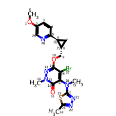 COc1ccc([C@H]2C[C@@H]2COc2nn(C)c(=O)c(N(C)c3nnc(C)s3)c2Br)nc1